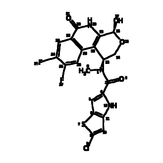 CN(C(=O)c1cc2sc(Cl)cc2[nH]1)[C@@H]1CO[C@H](O)c2[nH]c(=O)c3cc(F)c(F)cc3c21